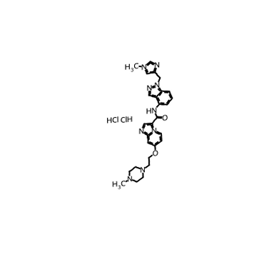 CN1CCN(CCOc2ccn3c(C(=O)Nc4cccc5c4cnn5Cc4cn(C)cn4)cnc3c2)CC1.Cl.Cl